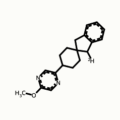 [2H]C1c2ccccc2CC12CCC(c1cnc(OC)cn1)CC2